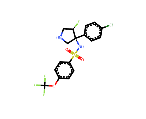 O=S(=O)(N[C@@]1(c2ccc(Cl)cc2)CNC[C@H]1F)c1ccc(OC(F)(F)F)cc1